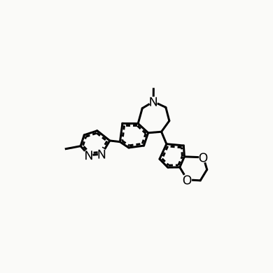 Cc1ccc(-c2ccc3c(c2)CN(C)CCC3c2ccc3c(c2)OCCO3)nn1